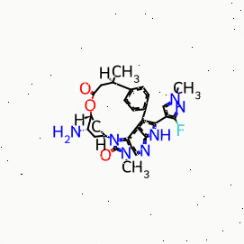 C[C@@H]1CC(=O)O[C@@H]2C[C@H](C[C@@H]2N)n2c(=O)n(C)c3cnc4[nH]c(-c5cn(C)nc5F)c(c4c32)-c2ccc1cc2